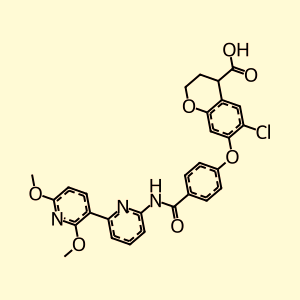 COc1ccc(-c2cccc(NC(=O)c3ccc(Oc4cc5c(cc4Cl)C(C(=O)O)CCO5)cc3)n2)c(OC)n1